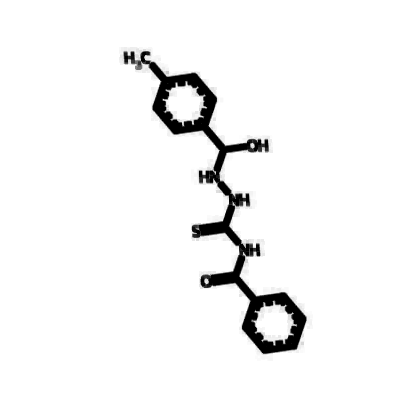 Cc1ccc(C(O)NNC(=S)NC(=O)c2ccccc2)cc1